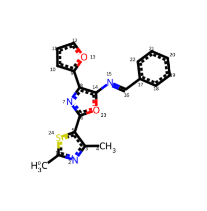 Cc1nc(C)c(-c2nc(-c3ccco3)c(N=Cc3ccccc3)o2)s1